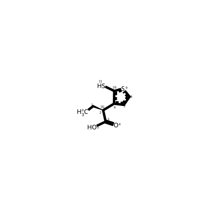 CC[C@H](C(=O)O)c1ccsc1S